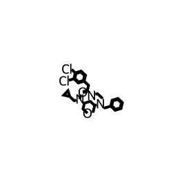 CN(CC1CC1)[C@H]1COCC2C1N(C(=O)Cc1ccc(Cl)c(Cl)c1)CCN2Cc1ccccc1